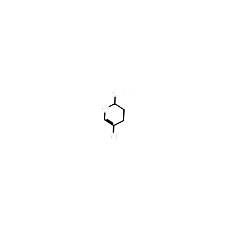 CC1=COC(C=O)CC1